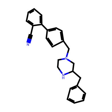 N#Cc1ccccc1-c1ccc(CN2CCNC(Cc3ccccc3)C2)cc1